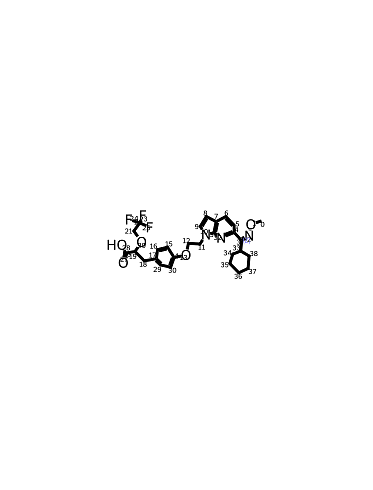 CO/N=C(\c1ccc2ccn(CCOc3ccc(CC(OCC(F)(F)F)C(=O)O)cc3)c2n1)C1CCCCC1